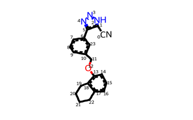 N#Cc1[nH]nnc1-c1cccc(COc2cccc3c2CCCC3)c1